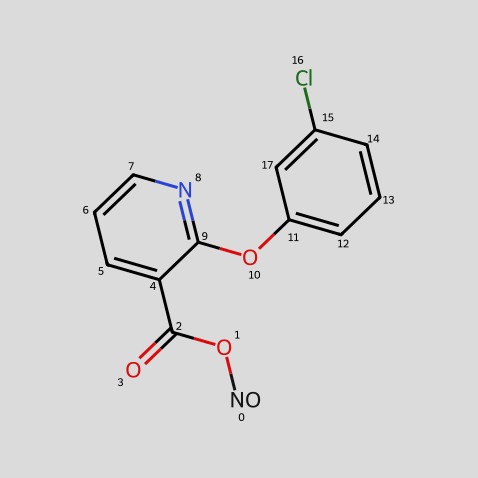 O=NOC(=O)c1cccnc1Oc1cccc(Cl)c1